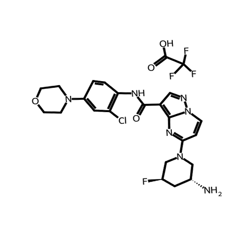 N[C@@H]1C[C@@H](F)CN(c2ccn3ncc(C(=O)Nc4ccc(N5CCOCC5)cc4Cl)c3n2)C1.O=C(O)C(F)(F)F